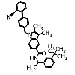 Cc1c(C)n(Cc2ccc(-c3ccccc3C#N)cc2)c2ccc(C(=O)NC(C)c3cccc(C(C)(C)C)c3)cc12